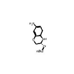 CCCCO[C@@H]1COC2=CC(N)=CCC2N1